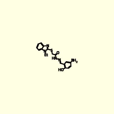 Bc1ccc(O)c(/C=N/NC(=O)CSc2nc3ccccc3n2CC)c1